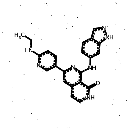 CCNc1ccc(-c2cc3cc[nH]c(=O)c3c(Nc3ccc4cn[nH]c4c3)n2)cn1